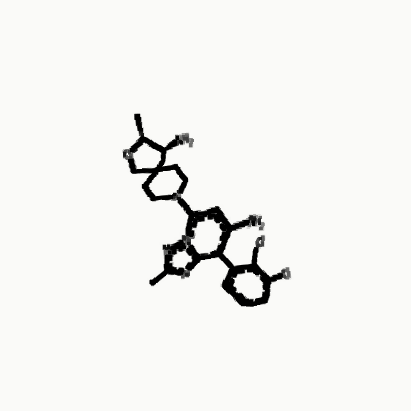 Cc1nc2c(-c3cccc(Cl)c3Cl)c(N)cc(N3CCC4(CC3)CO[C@@H](C)[C@H]4N)n2n1